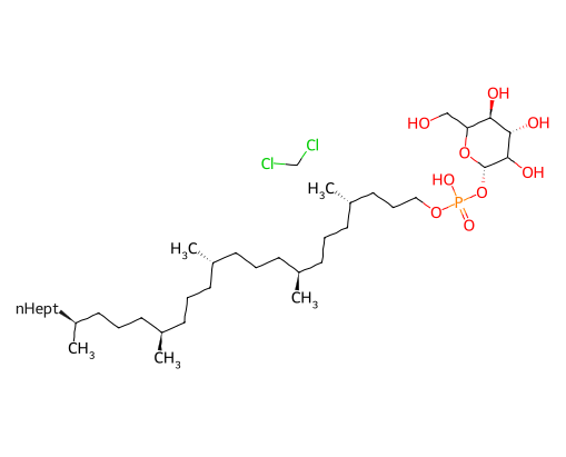 CCCCCCC[C@H](C)CCC[C@H](C)CCC[C@H](C)CCC[C@H](C)CCC[C@H](C)CCCOP(=O)(O)O[C@@H]1OC(CO)[C@@H](O)[C@H](O)C1O.ClCCl